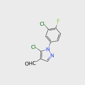 O=Cc1cnn(-c2ccc(F)c(Cl)c2)c1Cl